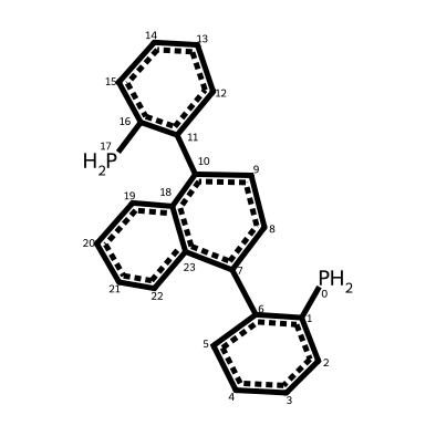 Pc1ccccc1-c1ccc(-c2ccccc2P)c2ccccc12